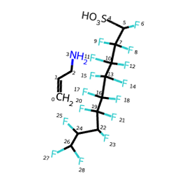 C=CCN.O=S(=O)(O)C(F)C(F)(F)C(F)(F)C(F)(F)C(F)(F)C(F)(F)C(F)C(F)C(F)F